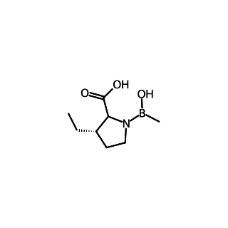 CC[C@H]1CCN(B(C)O)C1C(=O)O